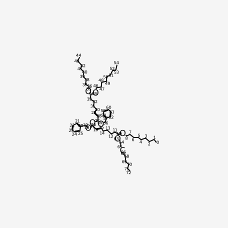 CCCCCCCCCOC(CCCCC=CC(OCc1ccccc1)OC(C=CCCCCC(OCCCCCCCCC)OCCCCCCCCC)OCc1ccccc1)OCCCCCCCCC